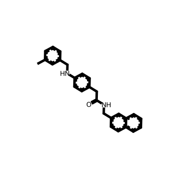 Cc1cccc(CNc2ccc(CC(=O)NCc3ccc4ccccc4c3)cc2)c1